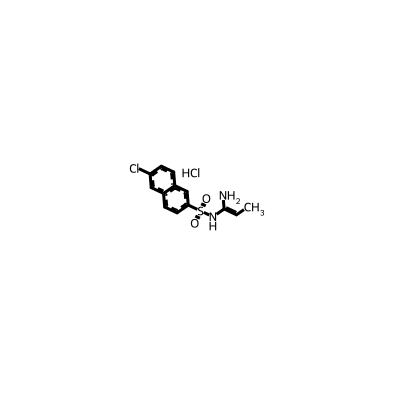 CC=C(N)NS(=O)(=O)c1ccc2cc(Cl)ccc2c1.Cl